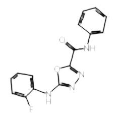 O=C(Nc1c[c]ccc1)c1nnc(Nc2ccccc2F)o1